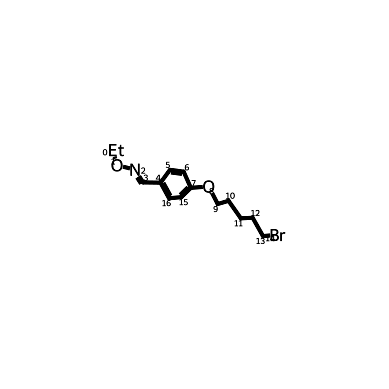 CCO/N=C/c1ccc(OCCCCCBr)cc1